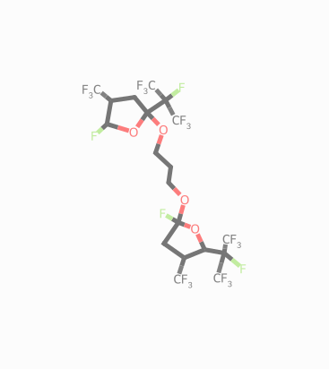 FC1OC(OCCCOC2(F)CC(C(F)(F)F)C(C(F)(C(F)(F)F)C(F)(F)F)O2)(C(F)(C(F)(F)F)C(F)(F)F)CC1C(F)(F)F